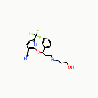 N#Cc1ccc(C(F)(F)F)nc1O[C@H](CCNCCCO)c1ccccc1